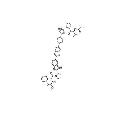 COC(=O)N[C@H](C(=O)N1CCC[C@H]1c1nc(-c2ccc(C3=CC4SC(c5ccc6nc([C@@H]7CCCN7C(=O)[C@H](NC(=O)OC)c7ccccc7)[nH]c6c5)=CC4S3)cc2)c[nH]1)C(C)C